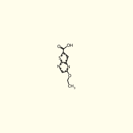 CCOc1cnc2sc(C(=O)O)cc2n1